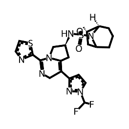 C[C@H]1CC2CCC[C@H]1N2S(=O)(=O)N[C@H]1CC2=C(c3ccn(C(F)F)n3)CN=C(c3nccs3)N2C1